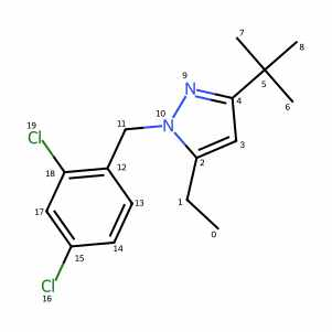 CCc1cc(C(C)(C)C)nn1Cc1ccc(Cl)cc1Cl